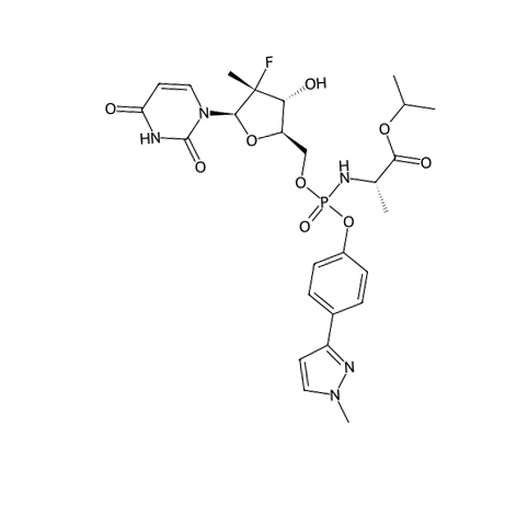 CC(C)OC(=O)[C@H](C)NP(=O)(OC[C@H]1O[C@@H](n2ccc(=O)[nH]c2=O)[C@](C)(F)[C@@H]1O)Oc1ccc(-c2ccn(C)n2)cc1